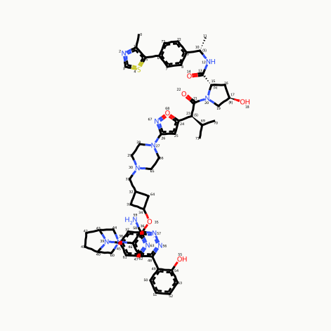 Cc1ncsc1-c1ccc([C@H](C)NC(=O)[C@@H]2C[C@@H](O)CN2C(=O)[C@H](c2cc(N3CCN(CC4CC(Oc5cc(N6C7CCC6CN(c6cc(-c8ccccc8O)nnc6N)C7)ccn5)C4)CC3)no2)C(C)C)cc1